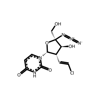 [N-]=[N+]=N[C@]1(CO)O[C@@H](n2ccc(=O)[nH]c2=O)[C@@H](C=CCl)[C@@H]1O